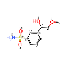 COCC(O)c1cccc(S(N)(=O)=O)c1